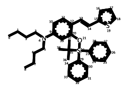 CCCCN(CCCC)c1ccc(C=Cc2cccs2)c(O[Si](c2ccccc2)(c2ccccc2)C(C)(C)C)c1